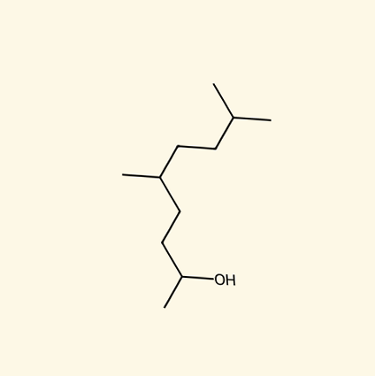 CC(C)CCC(C)CCC(C)O